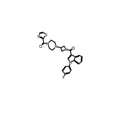 O=C(c1nccs1)N1CCN(C2CN(C(=O)c3cn(-c4ccc(F)cc4)c4ccccc34)C2)CC1